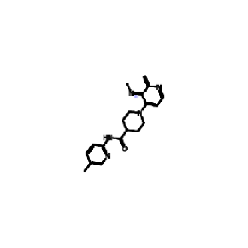 C=C1N=CC=C(N2CCC(C(=O)Nc3ccc(C)cn3)CC2)/C1=N/C